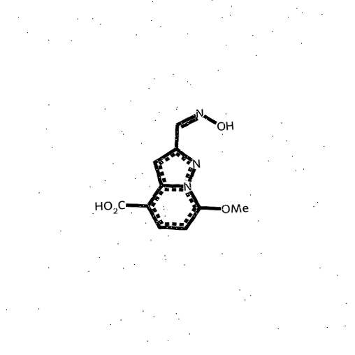 COc1ccc(C(=O)O)c2cc(/C=N\O)nn12